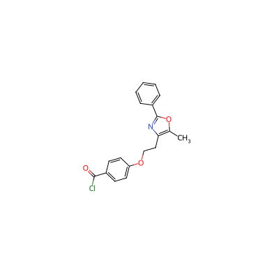 Cc1oc(-c2ccccc2)nc1CCOc1ccc(C(=O)Cl)cc1